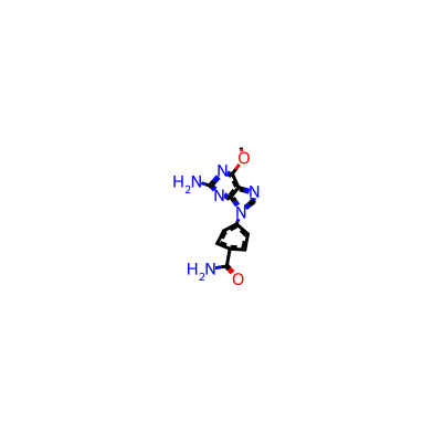 COc1nc(N)nc2c1ncn2-c1ccc(C(N)=O)cc1